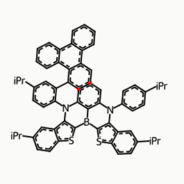 CC(C)c1ccc(N2c3cccc4c3B(c3sc5ccc(C(C)C)cc5c32)c2sc3ccc(C(C)C)cc3c2N4c2ccc(C(C)C)cc2-c2cccc3c4ccccc4c4ccccc4c23)cc1